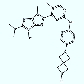 CCN1CC2(C1)CN(c1ccc(Nc3ncc(F)c(-c4sc5c(nc(N(C)C)n5C(C)C)c4C)n3)nc1)C2